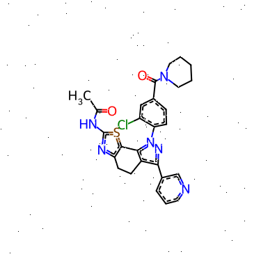 CC(=O)Nc1nc2c(s1)-c1c(c(-c3cccnc3)nn1-c1ccc(C(=O)N3CCCCC3)cc1Cl)CC2